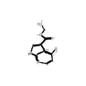 CCOC(=O)c1c[nH]c2nccc(Cl)c12